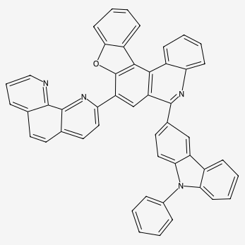 c1ccc(-n2c3ccccc3c3cc(-c4nc5ccccc5c5c4cc(-c4ccc6ccc7cccnc7c6n4)c4oc6ccccc6c45)ccc32)cc1